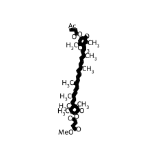 COC(=O)CCC(=O)OC1CC(C)(C)C(/C=C/C(C)=C/C=C/C(C)=C/C=C/C=C(C)/C=C/C=C(C)/C=C/C2=C(C)C(=O)C(OC(=O)CCC(C)=O)CC2(C)C)=C(C)C1=O